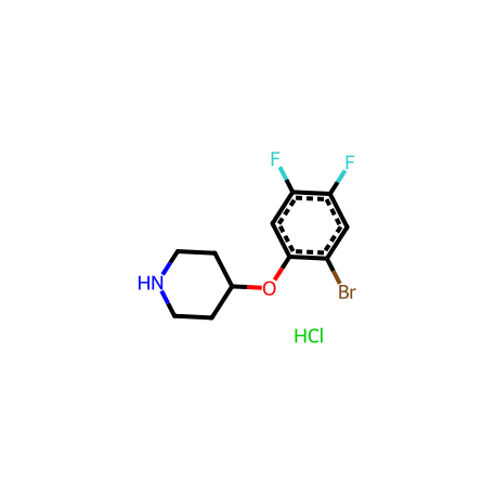 Cl.Fc1cc(Br)c(OC2CCNCC2)cc1F